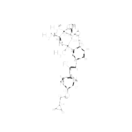 CC1(c2cc(C=C(F)c3cnc(OCC4CC4)cn3)ccc2F)CS(=O)(=O)C(C)(C)C(N)=N1